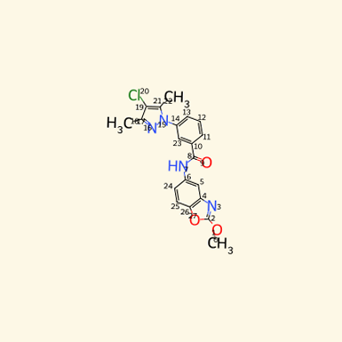 COc1nc2cc(NC(=O)c3cccc(-n4nc(C)c(Cl)c4C)c3)ccc2o1